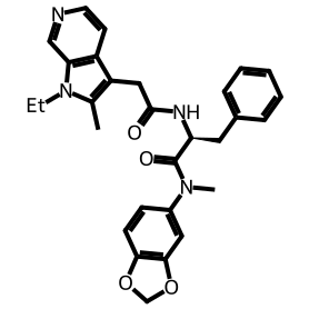 CCn1c(C)c(CC(=O)N[C@@H](Cc2ccccc2)C(=O)N(C)c2ccc3c(c2)OCO3)c2ccncc21